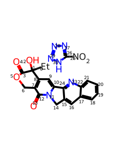 CCC1(O)C(=O)OCc2c1cc1n(c2=O)Cc2cc3ccccc3nc2-1.O=[N+]([O-])c1nnn[nH]1